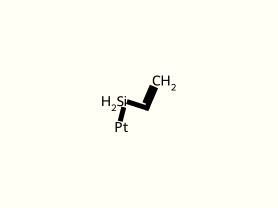 C=C[SiH2][Pt]